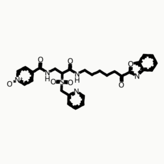 O=C(NCC(C(=O)NCCCCCC(=O)c1nc2ccccc2o1)S(=O)(=O)Cc1ccccn1)c1cc[n+]([O-])cc1